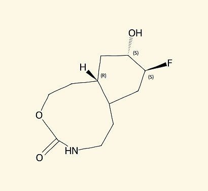 O=C1NCCC2C[C@H](F)[C@@H](O)C[C@H]2CCO1